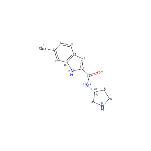 CC(C)(C)c1ccc2cc(C(=O)N[C@@H]3CCNC3)[nH]c2c1